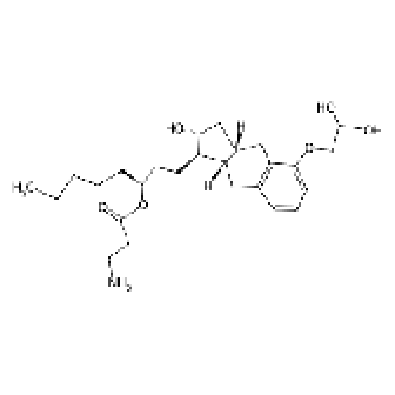 CCCCC[C@@H](CC[C@@H]1[C@H]2Cc3cccc(OCC(O)O)c3C[C@H]2C[C@H]1O)OC(=O)CCN